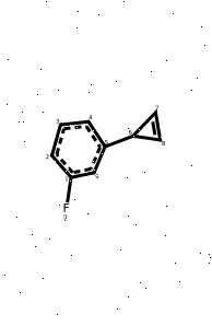 Fc1cccc(C2C=C2)c1